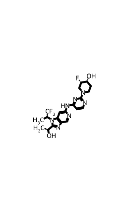 C[C@H](O)c1nc2cnc(Nc3ccnc(N4CC[C@@H](O)[C@@H](F)C4)n3)cc2n1[C@@H](C)C(F)(F)F